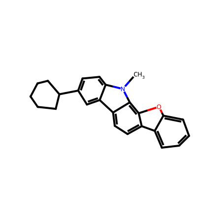 Cn1c2ccc(C3CCCCC3)cc2c2ccc3c4ccccc4oc3c21